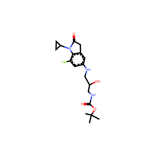 CC(C)(C)OC(=O)NCC(O)CNc1cc(F)c2c(c1)CC(=O)N2C1CC1